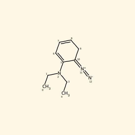 CCN(CC)C1=CC=CCC1=[N+]=[N-]